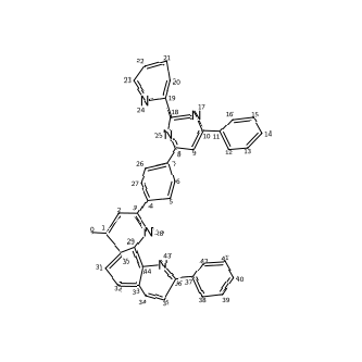 Cc1cc(-c2ccc(-c3cc(-c4ccccc4)nc(-c4ccccn4)n3)cc2)nc2c1ccc1ccc(-c3ccccc3)nc12